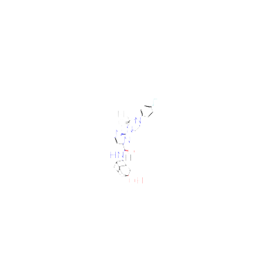 C[C@@H]1CN(c2ccc(F)cc2)CCN1c1nccc(C(=O)N[C@H]2C3CC4CC2C[C@](O)(C4)C3)n1